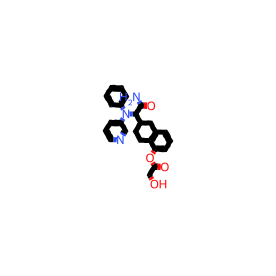 NC(=O)C(C1CCc2c(cccc2OC(=O)CO)C1)N(c1ccccc1)c1cccnc1